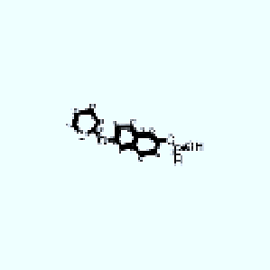 OBOc1ccc2cc(OC3CCCCO3)ccc2c1